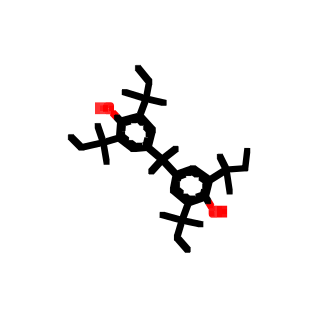 CCC(C)(C)c1cc(C(C)(C)c2cc(C(C)(C)CC)c(O)c(C(C)(C)CC)c2)cc(C(C)(C)CC)c1O